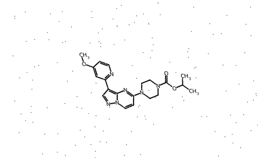 COc1ccnc(-c2cnn3ccc(N4CCN(C(=O)OC(C)C)CC4)nc23)c1